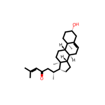 CC(C)=CC(=O)C[C@@H](C)[C@H]1CC[C@H]2[C@@H]3CC=C4C[C@@H](O)CC[C@]4(C)[C@H]3CC[C@]12C